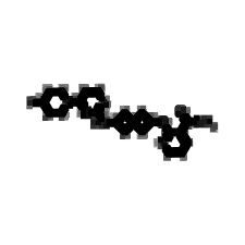 NC(=O)c1cccnc1OC1CC2(CC(Nc3nccc(N4CCC(F)CC4)n3)C2)C1